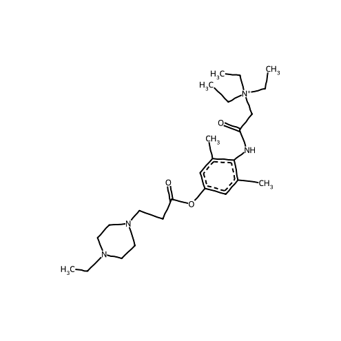 CCN1CCN(CCC(=O)Oc2cc(C)c(NC(=O)C[N+](CC)(CC)CC)c(C)c2)CC1